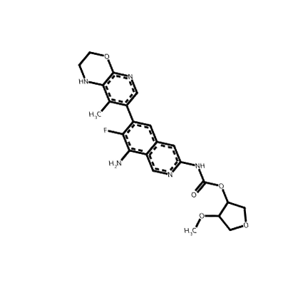 COC1COCC1OC(=O)Nc1cc2cc(-c3cnc4c(c3C)NCCO4)c(F)c(N)c2cn1